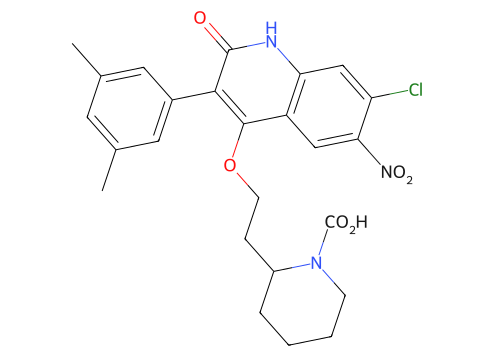 Cc1cc(C)cc(-c2c(OCCC3CCCCN3C(=O)O)c3cc([N+](=O)[O-])c(Cl)cc3[nH]c2=O)c1